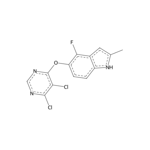 Cc1cc2c(F)c(Oc3ncnc(Cl)c3Cl)ccc2[nH]1